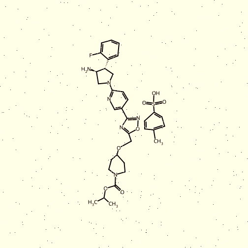 CC(C)OC(=O)N1CCC(OCc2nc(-c3ccc(N4C[C@@H](N)[C@H](c5ccccc5F)C4)nc3)no2)CC1.Cc1ccc(S(=O)(=O)O)cc1